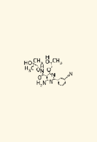 CC(O)COc1nc(-c2cccc(C#N)c2)nc(N)c1C(=O)NOCC(C)(C)O